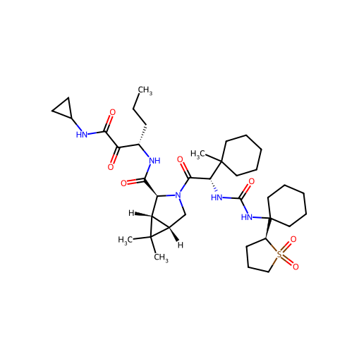 CCC[C@H](NC(=O)[C@@H]1[C@@H]2[C@H](CN1C(=O)[C@@H](NC(=O)NC1([C@@H]3CCCS3(=O)=O)CCCCC1)C1(C)CCCCC1)C2(C)C)C(=O)C(=O)NC1CC1